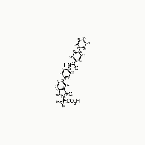 O=C(Nc1ccc(-c2ccc3c(c2)C(=O)N(C2(C(=O)O)CC2)C3)cc1)c1ccc(-c2ccccc2)cc1